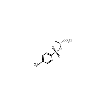 CCOC(=O)[C@@H](C)OS(=O)(=O)c1ccc([N+](=O)[O-])cc1